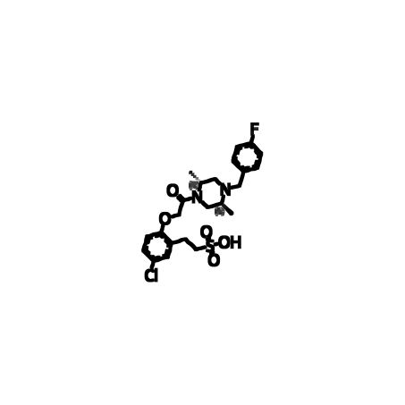 C[C@@H]1CN(Cc2ccc(F)cc2)[C@@H](C)CN1C(=O)COc1ccc(Cl)cc1CCS(=O)(=O)O